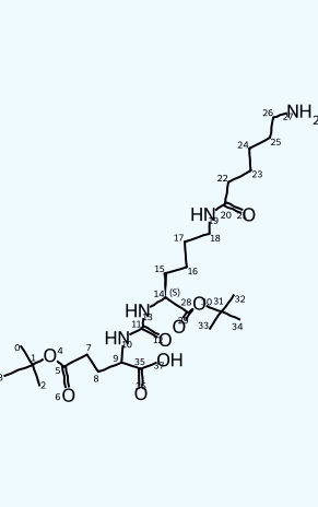 CC(C)(C)OC(=O)CCC(NC(=O)N[C@@H](CCCCNC(=O)CCCCCN)C(=O)OC(C)(C)C)C(=O)O